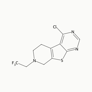 FC(F)(F)CN1CCc2c(sc3ncnc(Cl)c23)C1